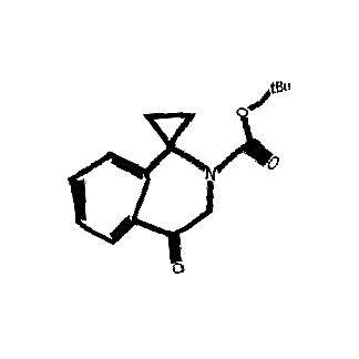 CC(C)(C)OC(=O)N1CC(=O)c2ccccc2C12CC2